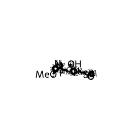 COc1ccc2nccc([C@H](F)CC[C@@H]3CCN(CCCSc4ccco4)C[C@@H]3CO)c2c1